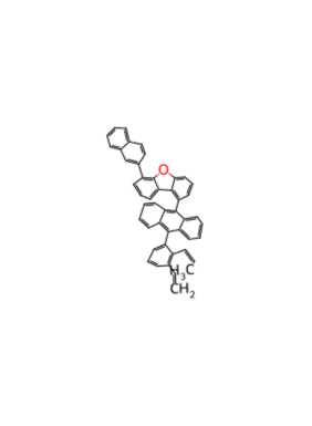 C=Cc1cccc(-c2c3ccccc3c(-c3cccc4oc5c(-c6ccc7ccccc7c6)cccc5c34)c3ccccc23)c1/C=C\C